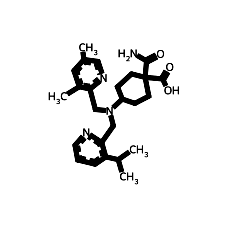 Cc1cnc(CN(Cc2ncccc2C(C)C)C2CCC(C(N)=O)(C(=O)O)CC2)c(C)c1